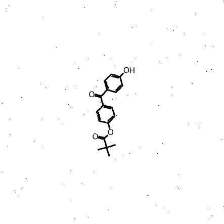 CC(C)(C)C(=O)Oc1ccc(C(=O)c2ccc(O)cc2)cc1